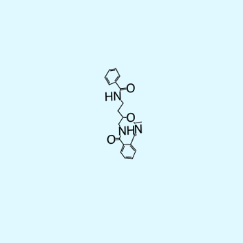 CCOC(CCNC(=O)c1ccccc1)CNC(=O)c1ccccc1C#N